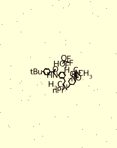 CCCN(CC1CCN(S(=O)(=O)N(C)C)CC1)C(C)Cc1cccc(NC(=O)c2ccc(C(C)(C)C)cc2)c1.O=C(O)C(F)(F)F